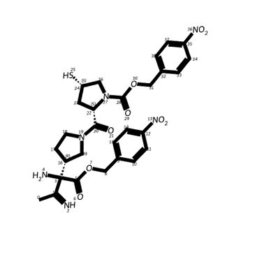 CC(=N)C(N)(C(=O)OCc1ccc([N+](=O)[O-])cc1)[C@@H]1CCN(C(=O)[C@@H]2C[C@H](S)CN2C(=O)OCc2ccc([N+](=O)[O-])cc2)C1